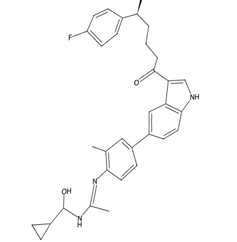 C/C(=N\c1ccc(-c2ccc3[nH]cc(C(=O)CCC[C@H](C)c4ccc(F)cc4)c3c2)cc1C)NC(O)C1CC1